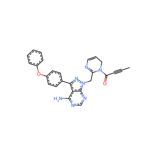 CC#CC(=O)N1CC=CN=C1Cn1nc(-c2ccc(Oc3ccccc3)cc2)c2c(N)ncnc21